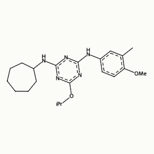 COc1ccc(Nc2nc(NC3CCCCCC3)nc(OC(C)C)n2)cc1C